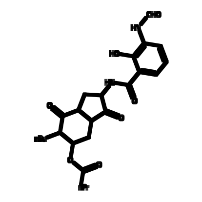 CCCCC1C(=O)C2CC(NC(=O)c3cccc(NC=O)c3O)C(=O)C2CC1OC(=O)CCC